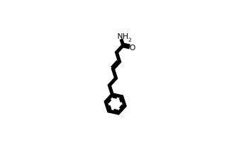 NC(=O)CC=CCCc1ccccc1